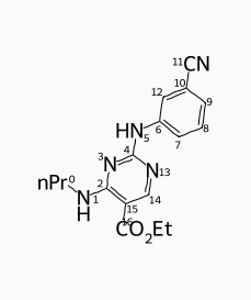 CCCNc1nc(Nc2cccc(C#N)c2)ncc1C(=O)OCC